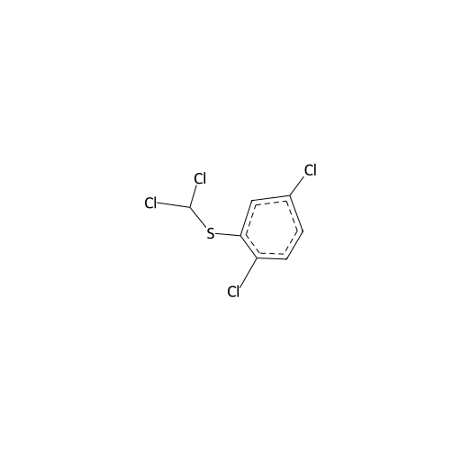 Clc1ccc(Cl)c(SC(Cl)Cl)c1